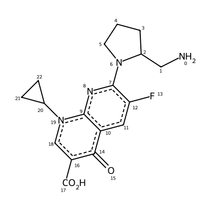 NCC1CCCN1c1nc2c(cc1F)c(=O)c(C(=O)O)cn2C1CC1